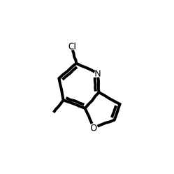 Cc1cc(Cl)nc2ccoc12